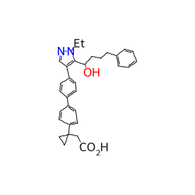 CCn1ncc(-c2ccc(-c3ccc(C4(CC(=O)O)CC4)cc3)cc2)c1C(O)CCCc1ccccc1